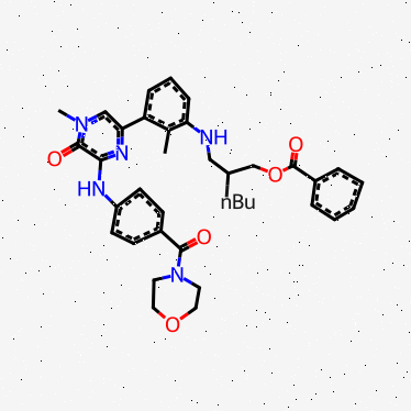 CCCCC(CNc1cccc(-c2cn(C)c(=O)c(Nc3ccc(C(=O)N4CCOCC4)cc3)n2)c1C)COC(=O)c1ccccc1